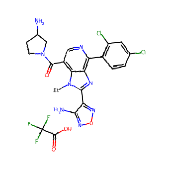 CCn1c(-c2nonc2N)nc2c(-c3ccc(Cl)cc3Cl)ncc(C(=O)N3CCC(N)C3)c21.O=C(O)C(F)(F)F